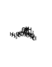 CC[N+]1(C)CCc2sc(NC(=O)Nc3ccc(Cl)cc3)c(C(N)=O)c2CC1.[I-]